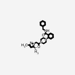 Cc1cc(C)n(CC(=O)N2CCN(c3ccccc3C(=O)NCc3ccccc3)CC2)n1